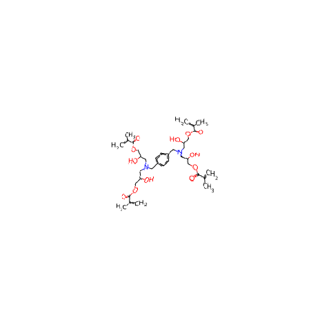 C=C(C)C(=O)OCC(O)CN(Cc1ccc(CN(CC(O)COC(=O)C(=C)C)CC(O)COC(=O)C(=C)C)cc1)CC(O)COC(=O)C(=C)C